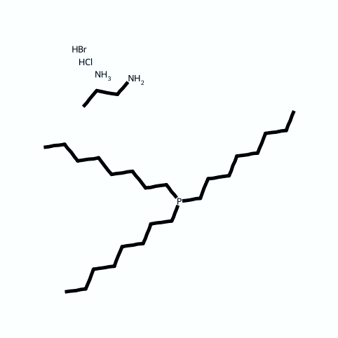 Br.CCCCCCCCP(CCCCCCCC)CCCCCCCC.CCCN.Cl.N